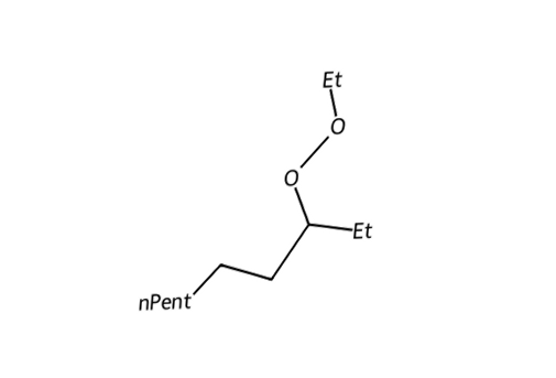 CCCCCCCC(CC)OOCC